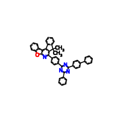 CC1(C)c2ccccc2-c2c1c(-c1ccc(-c3nc(-c4ccccc4)nc(-c4ccc(-c5ccccc5)cc4)n3)cc1)nc1oc3ccccc3c21